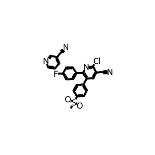 CS(=O)(=O)c1ccc(-c2cc(C#N)c(Cl)nc2-c2ccc(F)cc2)cc1.N#Cc1cccnc1